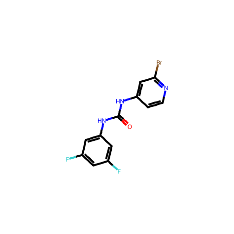 O=C(Nc1cc(F)cc(F)c1)Nc1ccnc(Br)c1